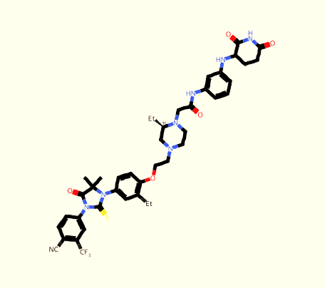 CCc1cc(N2C(=S)N(c3ccc(C#N)c(C(F)(F)F)c3)C(=O)C2(C)C)ccc1OCCN1CCN(CC(=O)Nc2cccc(NC3CCC(=O)NC3=O)c2)[C@H](CC)C1